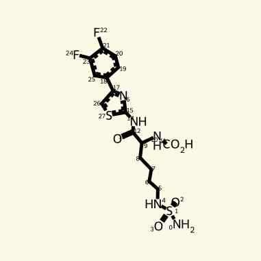 NS(=O)(=O)NCCCCC(NC(=O)O)C(=O)Nc1nc(-c2ccc(F)c(F)c2)cs1